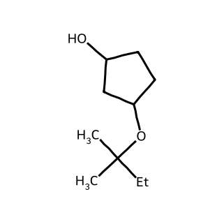 CCC(C)(C)OC1CCC(O)C1